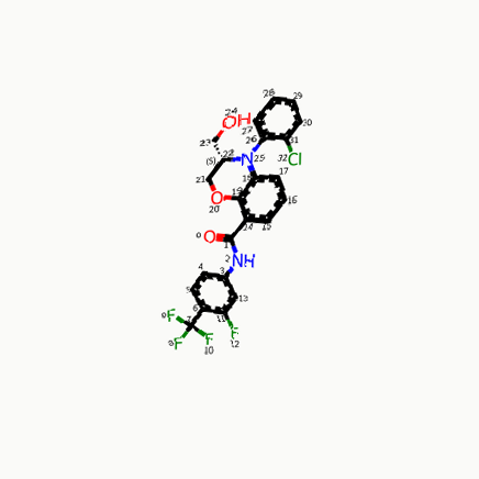 O=C(Nc1ccc(C(F)(F)F)c(F)c1)c1cccc2c1OC[C@H](CO)N2c1ccccc1Cl